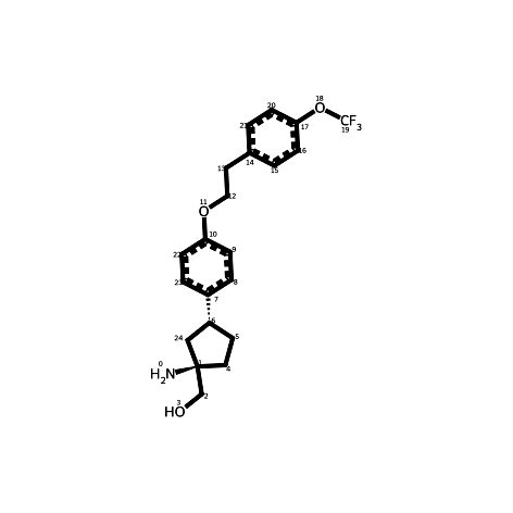 N[C@]1(CO)CC[C@@H](c2ccc(OCCc3ccc(OC(F)(F)F)cc3)cc2)C1